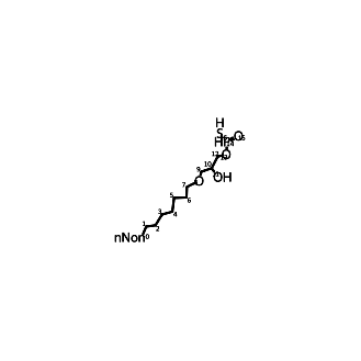 CCCCCCCCCCCCCCCCOCC(O)CO[PH](=O)S